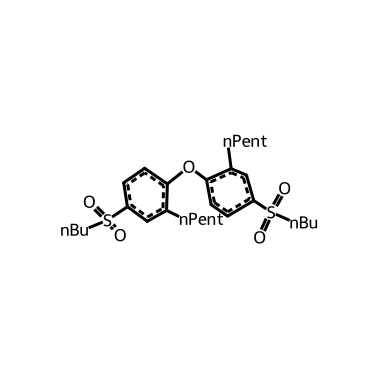 CCCCCc1cc(S(=O)(=O)CCCC)ccc1Oc1ccc(S(=O)(=O)CCCC)cc1CCCCC